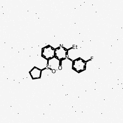 CCc1nc2cccc([S+]([O-])C3CCCC3)c2c(=O)n1-c1cccc(F)c1